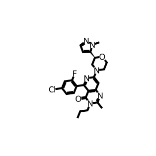 CCCn1c(C)nc2cc(N3CCO[C@H](c4ccnn4C)C3)nc(-c3ccc(Cl)cc3F)c2c1=O